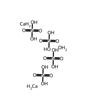 O.O=S(=O)(O)O.O=S(=O)(O)O.O=S(=O)(O)O.O=S(=O)(O)O.[CaH2].[CaH2]